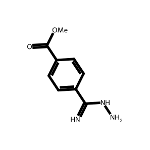 COC(=O)c1ccc(C(=N)NN)cc1